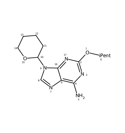 CCCC(C)Oc1nc(N)c2ncn(C3CCCCO3)c2n1